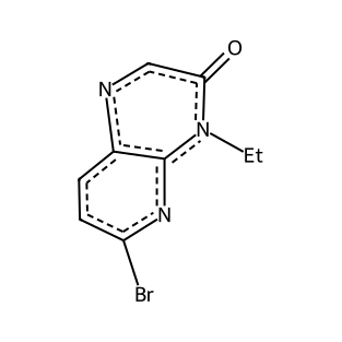 CCn1c(=O)cnc2ccc(Br)nc21